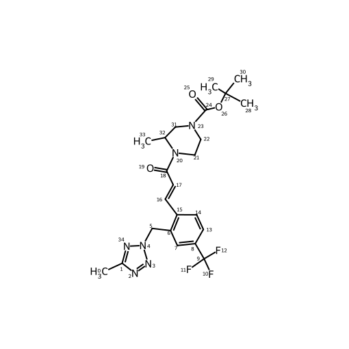 Cc1nnn(Cc2cc(C(F)(F)F)ccc2C=CC(=O)N2CCN(C(=O)OC(C)(C)C)CC2C)n1